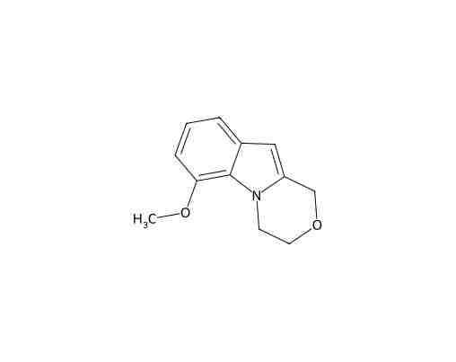 COc1cccc2cc3n(c12)CCOC3